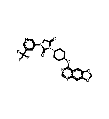 O=C1CN(c2cncc(C(F)(F)F)c2)C(=O)N1[C@H]1CC[C@H](Oc2ncnc3cc4c(cc23)OCO4)CC1